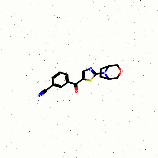 N#Cc1cccc(C(=O)c2cnc(N3C4CCC3COC4)s2)c1